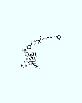 COc1cc(OC)c(Cl)c(NC(=O)N(C)c2cc(Nc3ccc(N4CCN(CC(=O)NCCOCCOCCc5ccccc5)CC4)cc3)ncn2)c1Cl